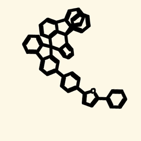 c1ccc(-c2ccc(-c3ccc(-c4ccc5c(c4)C4(c6ccccc6-5)c5ccccc5C5(c6ccccc6)c6ccccc6-c6cccc4c65)cc3)o2)cc1